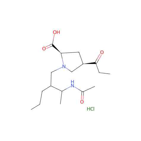 CCCC(CN1C[C@H](C(=O)CC)C[C@@H]1C(=O)O)C(C)NC(C)=O.Cl